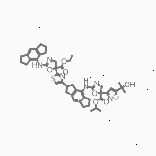 CCOC(=O)C1(c2nc(C3Cc4cc5c(c(NC6=NCC(C(=O)OC(C)C)(c7cc(C(C)(C)O)on7)O6)c4C3)CCC5)cs2)CN=C(Nc2c3c(cc4c2CCC4)CCC3)O1